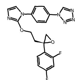 Fc1ccc([C@]2(CCOc3nccn3-c3ccc(-n4cnnn4)cc3)CO2)c(F)c1